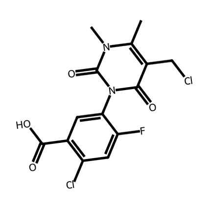 Cc1c(CCl)c(=O)n(-c2cc(C(=O)O)c(Cl)cc2F)c(=O)n1C